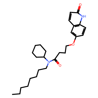 CCCCCCCCN(C(=O)CCCOc1ccc2[nH]c(=O)ccc2c1)C1CCCCC1